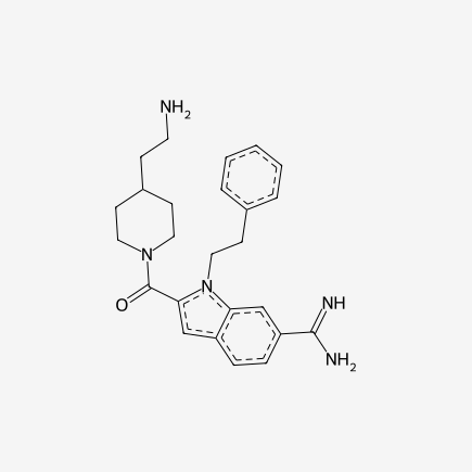 N=C(N)c1ccc2cc(C(=O)N3CCC(CCN)CC3)n(CCc3ccccc3)c2c1